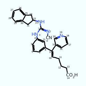 N#CN=C(Nc1cccc(C(=CCCCC(=O)O)c2cccnc2)c1)NC1Cc2ccccc2C1